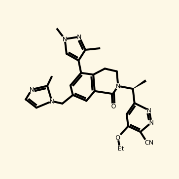 CCOc1cc([C@H](C)N2CCc3c(cc(Cn4ccnc4C)cc3-c3cn(C)nc3C)C2=O)nnc1C#N